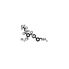 CSc1cc(C(=O)NCC(=O)C(F)(F)F)cc(C(=O)N2CCC(c3cccc(CN)c3)CC2)c1